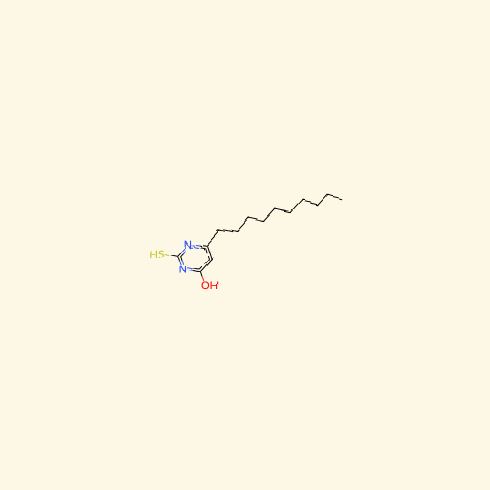 CCCCCCCCCCc1cc(O)nc(S)n1